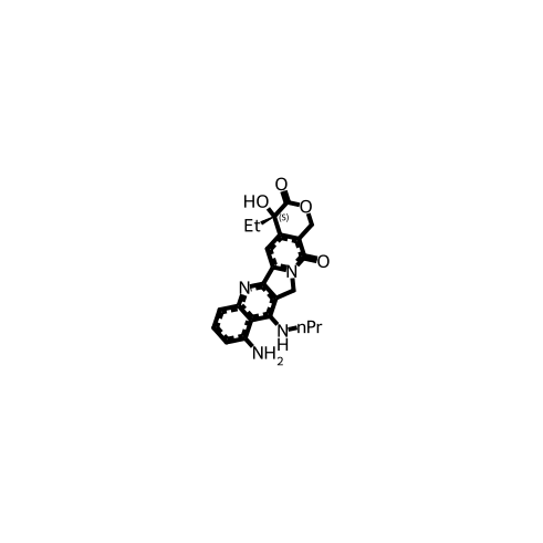 CCCNc1c2c(nc3cccc(N)c13)-c1cc3c(c(=O)n1C2)COC(=O)[C@]3(O)CC